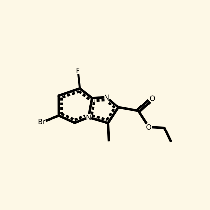 CCOC(=O)c1nc2c(F)cc(Br)cn2c1C